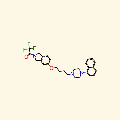 O=C(N1Cc2ccc(OCCCCN3CCN(c4cccc5ccccc45)CC3)cc2C1)C(F)(F)F